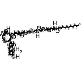 CCCCCCCCCCCC(=O)NCCOCCOCC(=O)NCCOCCOCC(=O)NCCCC[C@@H]1NC(=O)[C@@H](N)CSSC[C@@H](C(=O)C[C@@H](Cc2ccc(O)cc2)C(N)=O)CC1=O